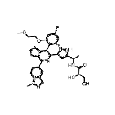 COCCOc1cc(F)cc(F)c1-c1c(-c2cc(C(C)NC(=O)C(O)CO)[nH]n2)nc(-c2ccc3c(cnn3C)c2)c2ccsc12